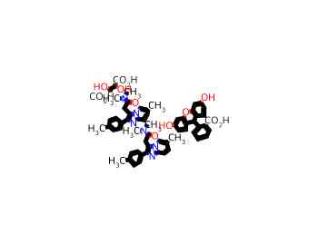 Cc1ccc(-c2nc3ccc(C)cn3c2CC(=O)N(C)C)cc1.Cc1ccc(-c2nc3ccc(C)cn3c2CC(=O)N(C)C)cc1.O=C(O)C(O)C(O)C(=O)O.O=C(O)c1ccccc1C1c2ccc(O)cc2Oc2cc(O)ccc21